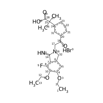 Br.CCOc1cc2c(c(F)c1OCC)C(=N)N(CC(=O)c1cccc(C(C)(C)C(=O)O)c1)C2